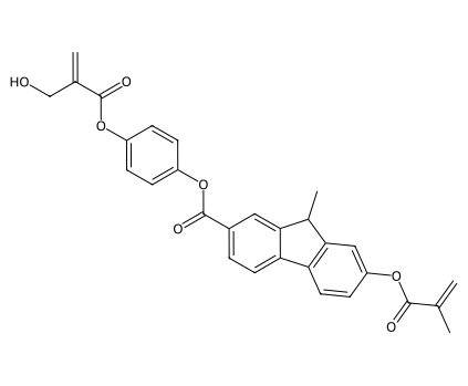 C=C(C)C(=O)Oc1ccc2c(c1)C(C)c1cc(C(=O)Oc3ccc(OC(=O)C(=C)CO)cc3)ccc1-2